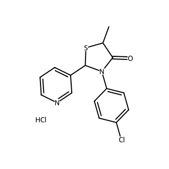 CC1SC(c2cccnc2)N(c2ccc(Cl)cc2)C1=O.Cl